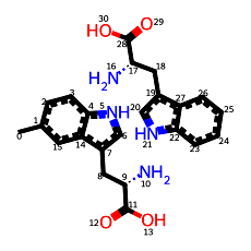 Cc1ccc2[nH]cc(C[C@H](N)C(=O)O)c2c1.N[C@@H](Cc1c[nH]c2ccccc12)C(=O)O